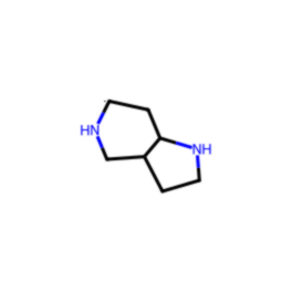 [CH]1CC2NCCC2CN1